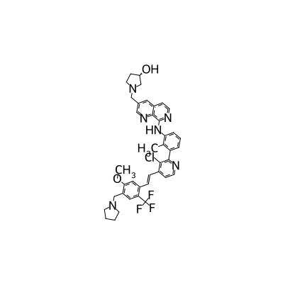 COc1cc(/C=C/c2ccnc(-c3cccc(Nc4nccc5cc(CN6CC[C@@H](O)C6)cnc45)c3C)c2Cl)c(C(F)(F)F)cc1CN1CCCC1